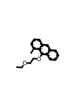 CCOCCOc1c2ccccc2cc2cccc(C)c12